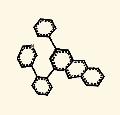 c1ccc(-c2cc(-c3ccccc3-c3cccnc3)c3cc4ccccc4cc3c2)cc1